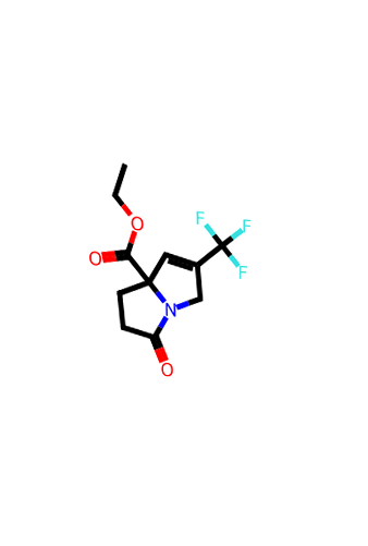 CCOC(=O)C12C=C(C(F)(F)F)CN1C(=O)CC2